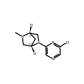 CN1C[C@@H]2C[C@H]1CN2c1cncc(Cl)n1